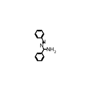 NC(N=Nc1ccccc1)c1ccccc1